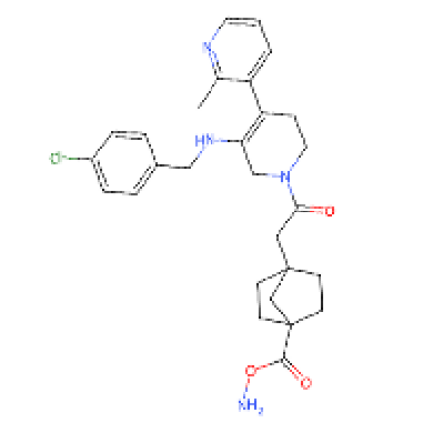 Cc1ncccc1C1=C(NCc2ccc(Cl)cc2)CN(C(=O)CC23CCC(C(=O)ON)(CC2)C3)CC1